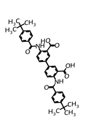 CC(C)(C)c1ccc(C(=O)Nc2ccc(-c3ccc(NC(=O)c4ccc(C(C)(C)C)cc4)c(C(=O)O)c3)cc2C(=O)O)cc1